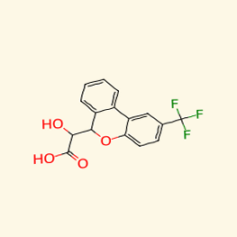 O=C(O)C(O)C1Oc2ccc(C(F)(F)F)cc2-c2ccccc21